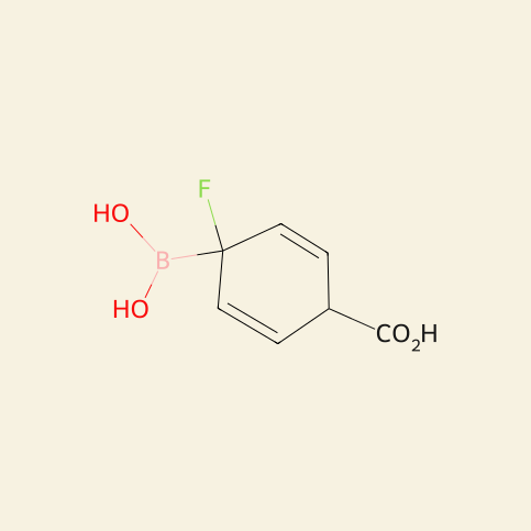 O=C(O)C1C=CC(F)(B(O)O)C=C1